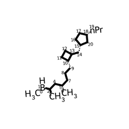 CBC(C)C[C@@H](C)CCC[C@@H]1CCC1C[C@@H]1CC[C@H](CCC)C1